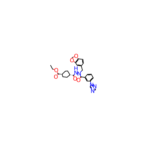 CCOC(=O)[C@H]1CC[C@H](C(=O)NN(Cc2ccc3c(c2)OCO3)C(=O)c2cccc(-n3cncn3)c2)CC1